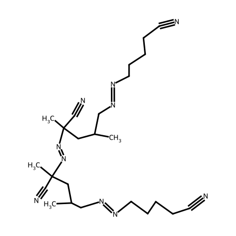 CC(CN=NCCCCC#N)CC(C)(C#N)N=NC(C)(C#N)CC(C)CN=NCCCCC#N